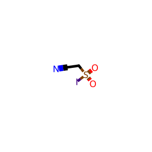 N#CCS(=O)(=O)I